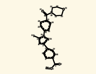 COC(=O)c1ccc(-c2cc(I)n(-c3ccc(C(=O)N4CCOCC4)cc3)n2)cc1